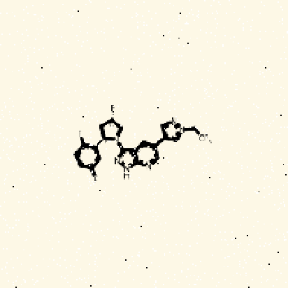 Fc1ccc(F)c([C@H]2C[C@H](F)CN2c2n[nH]c3ncc(-c4cnn(CC(F)(F)F)c4)cc23)c1